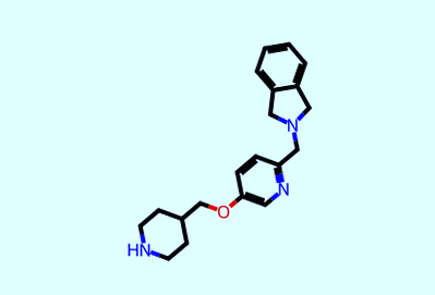 c1ccc2c(c1)CN(Cc1ccc(OCC3CCNCC3)cn1)C2